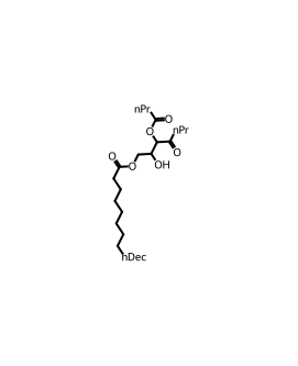 CCCCCCCCCCCCCCCCCC(=O)OCC(O)C(OC(=O)CCC)C(=O)CCC